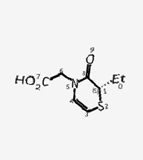 CC[C@@H]1SC=CN(CC(=O)O)C1=O